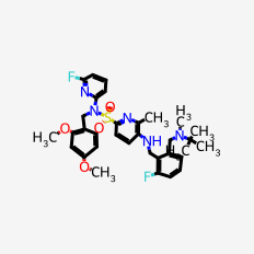 COc1ccc(CN(c2cccc(F)n2)S(=O)(=O)c2ccc(NCc3c(F)cccc3CN(C)C(C)(C)C)c(C)n2)c(OC)c1